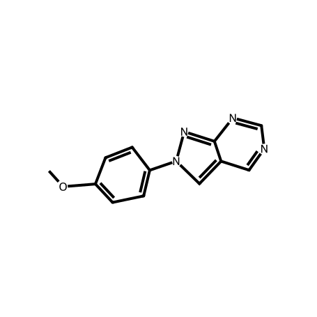 COc1ccc(-n2cc3cncnc3n2)cc1